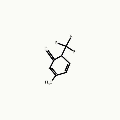 CC1=[C]C(=O)C(C(F)(F)F)C=C1